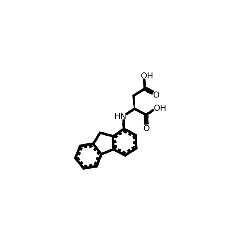 O=C(O)C[C@H](Nc1cccc2c1Cc1ccccc1-2)C(=O)O